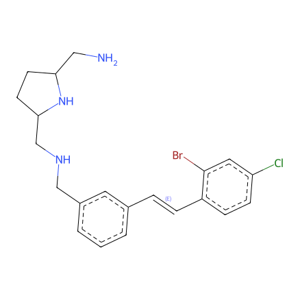 NCC1CCC(CNCc2cccc(/C=C/c3ccc(Cl)cc3Br)c2)N1